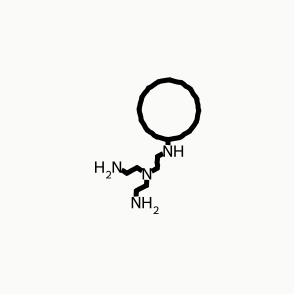 NCCN(CCN)CCNC1CCCCCCCCCCCCCCC1